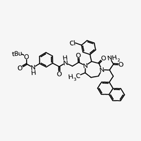 CC1CCN(C(Cc2cccc3ccccc23)C(N)=O)C(=O)C(c2cccc(Cl)c2)N1C(=O)CNC(=O)c1cccc(NC(=O)OC(C)(C)C)c1